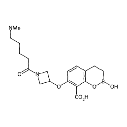 CNCCCCC(=O)N1CC(Oc2ccc3c(c2C(=O)O)OB(O)CC3)C1